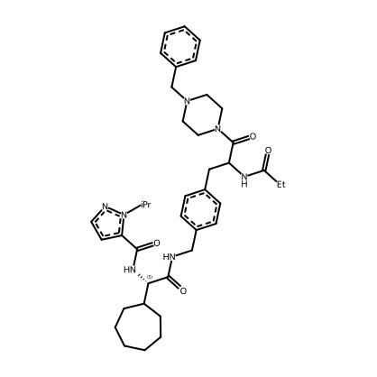 CCC(=O)NC(Cc1ccc(CNC(=O)[C@@H](NC(=O)c2ccnn2C(C)C)C2CCCCCC2)cc1)C(=O)N1CCN(Cc2ccccc2)CC1